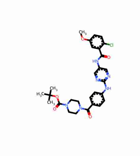 COc1ccc(Cl)c(C(=O)Nc2cnc(Nc3ccc(C(=O)N4CCN(C(=O)OC(C)(C)C)CC4)cc3)nc2)c1